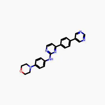 c1ncc(-c2ccc(-c3ccnc(Nc4ccc(N5CCOCC5)cc4)n3)cc2)cn1